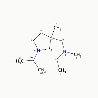 CCN(C)CC1(C)CCN(C(C)C)C1